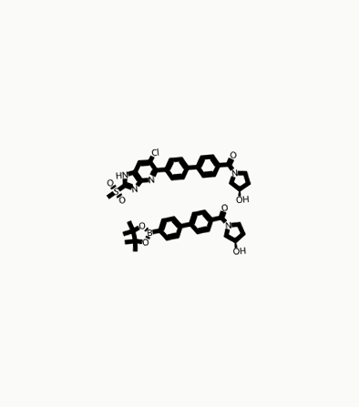 CC1(C)OB(c2ccc(-c3ccc(C(=O)N4CC[C@@H](O)C4)cc3)cc2)OC1(C)C.CS(=O)(=O)c1nc2nc(-c3ccc(-c4ccc(C(=O)N5CC[C@@H](O)C5)cc4)cc3)c(Cl)cc2[nH]1